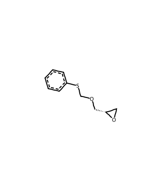 c1ccc(SCOC[C@@H]2CO2)cc1